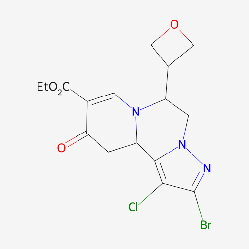 CCOC(=O)C1=CN2C(CC1=O)c1c(Cl)c(Br)nn1CC2C1COC1